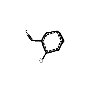 S=Cc1ccccc1Cl